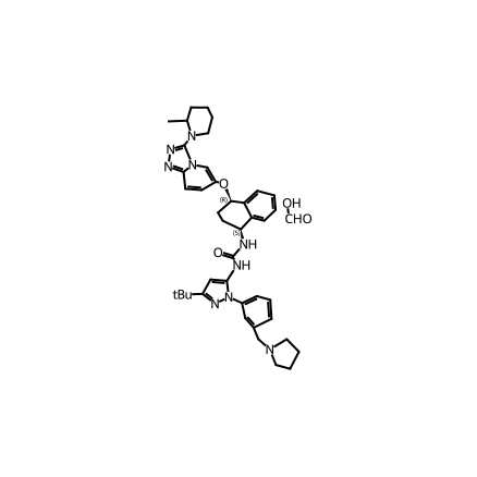 CC1CCCCN1c1nnc2ccc(O[C@@H]3CC[C@H](NC(=O)Nc4cc(C(C)(C)C)nn4-c4cccc(CN5CCCC5)c4)c4ccccc43)cn12.O=CO